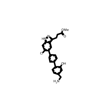 COC(=O)CCc1n[nH]c2cc(Cl)c(-c3ccc(-c4ccc(CN)cc4O)cc3)cc12